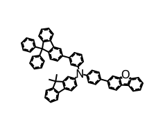 CC1(C)c2ccccc2-c2ccc(N(c3ccc(-c4ccc5c(c4)oc4ccccc45)cc3)c3cccc(-c4ccc5c(c4)-c4ccccc4C5(c4ccccc4)c4ccccc4)c3)cc21